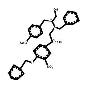 COc1ccc(C[C@@H](CO)N(Cc2ccccc2)C[C@H](O)c2ccc(OCc3ccccc3)c([N+](=O)[O-])c2)cc1